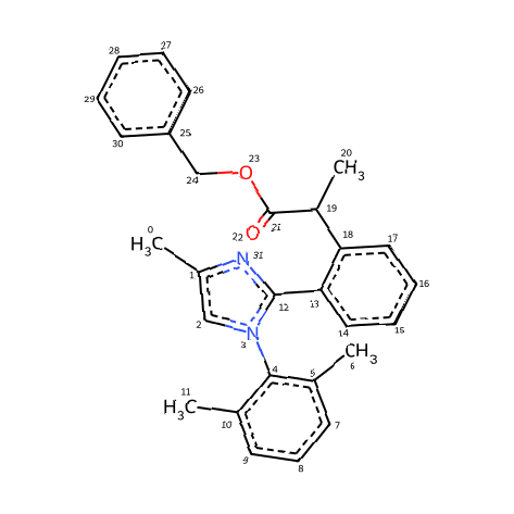 Cc1cn(-c2c(C)cccc2C)c(-c2ccccc2C(C)C(=O)OCc2ccccc2)n1